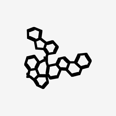 c1ccc2c(c1)Cc1c-2cccc1N(c1cccc2c1ccc1c3ccccc3ccc21)c1cccc2sc3ccccc3c12